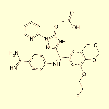 CC(=O)O.N=C(N)c1ccc(N[C@@H](c2cc3c(c(OCCF)c2)OCOC3)c2nn(-c3ncccn3)c(=O)[nH]2)cc1